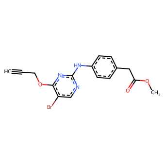 C#CCOc1nc(Nc2ccc(CC(=O)OC)cc2)ncc1Br